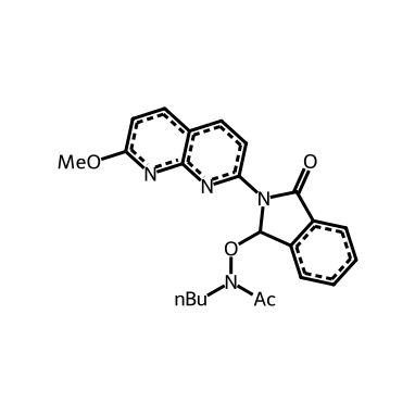 CCCCN(OC1c2ccccc2C(=O)N1c1ccc2ccc(OC)nc2n1)C(C)=O